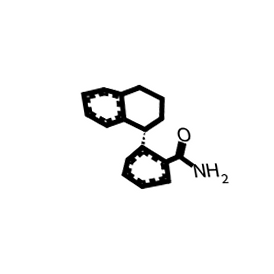 NC(=O)c1ccccc1[C@H]1CCCc2ccccc21